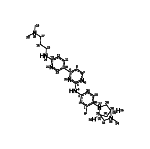 Cc1cc(Nc2nccc(-c3ccc(NCCCN(C)C)nc3)n2)ccc1N1C[C@@H]2C[C@H]1CN2C